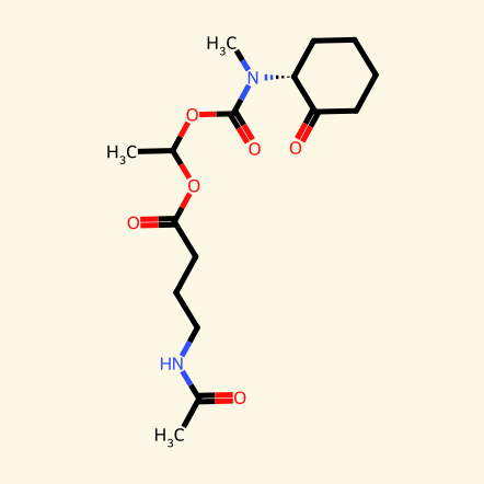 CC(=O)NCCCC(=O)OC(C)OC(=O)N(C)[C@@H]1CCCCC1=O